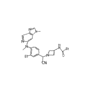 CCC(=O)NC1CN(C(C#N)c2ccc(N(C)c3cc4c(cn3)ncn4C)c(CC)c2)C1